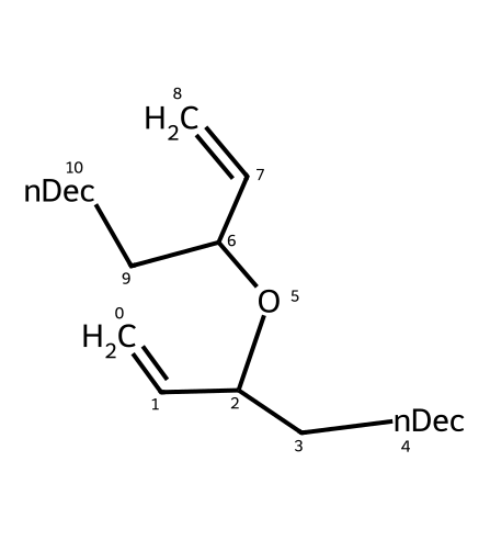 C=CC(CCCCCCCCCCC)OC(C=C)CCCCCCCCCCC